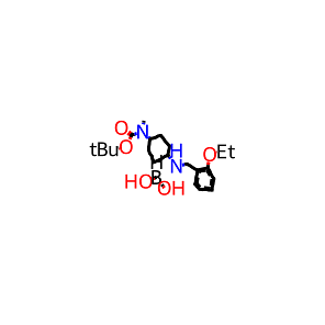 CCOc1ccccc1CNC1CCC(N(C)C(=O)OC(C)(C)C)CC1.OBO